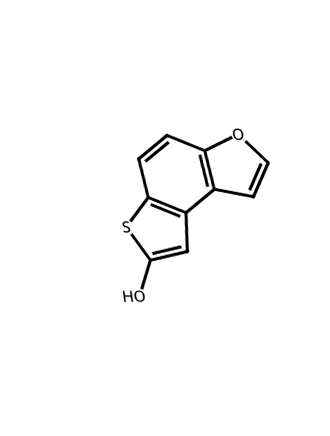 Oc1cc2c(ccc3occc32)s1